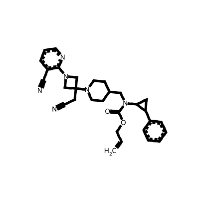 C=CCOC(=O)N(CC1CCN(C2(CC#N)CN(c3ncccc3C#N)C2)CC1)C1CC1c1ccccc1